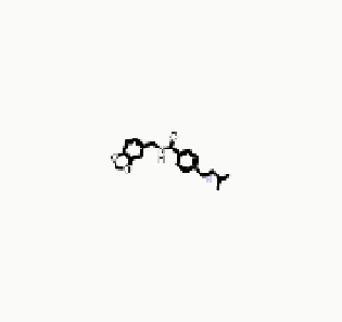 CC(C)/C=C/c1ccc(C(=O)NCc2ccc3c(c2)OCO3)cc1